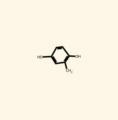 [CH2]c1cc(O)ccc1O